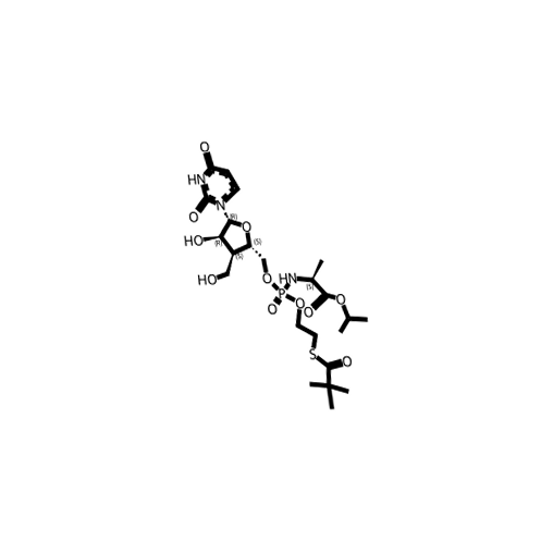 CC(C)OC(=O)[C@H](C)NP(=O)(OCCSC(=O)C(C)(C)C)OC[C@H]1O[C@@H](n2ccc(=O)[nH]c2=O)[C@H](O)[C@@H]1CO